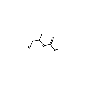 CC(C)CC(C)OC(=O)C(C)C